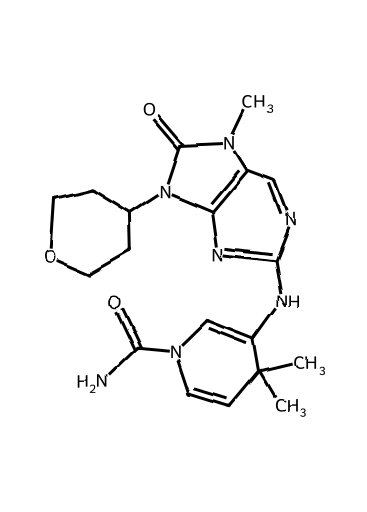 Cn1c(=O)n(C2CCOCC2)c2nc(NC3=CN(C(N)=O)C=CC3(C)C)ncc21